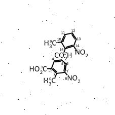 Cc1c(C(=O)O)cccc1[N+](=O)[O-].Cc1cccc([N+](=O)[O-])c1C(=O)O